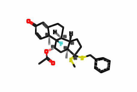 CS[C@]1(SCc2ccccc2)CC[C@H]2[C@@H]3CCC4=CC(=O)C=C[C@]4(C)C3(F)[C@@H](OC(C)=O)C[C@@]21C